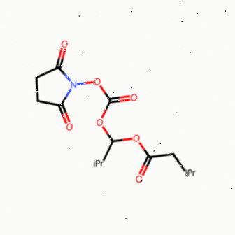 CC(C)CC(=O)OC(OC(=O)ON1C(=O)CCC1=O)C(C)C